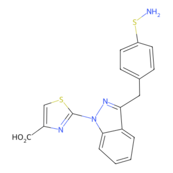 NSc1ccc(Cc2nn(-c3nc(C(=O)O)cs3)c3ccccc23)cc1